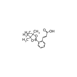 CC1(C)OB(c2ccccc2C=CC(=O)O)OC1(C)C